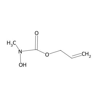 C=CCOC(=O)N(C)O